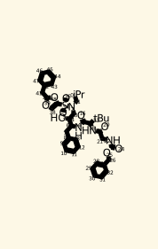 CC(C)CN(CC(O)C(Cc1ccccc1)NC(=O)C(NC(=O)CNC(=O)OCc1ccccc1)C(C)(C)C)S(=O)(=O)C1=COC(Cc2ccccc2)O1